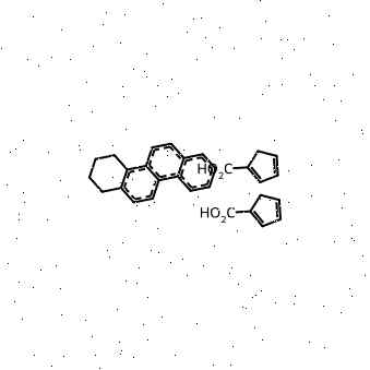 O=C(O)C1=CC=CC1.O=C(O)C1=CC=CC1.c1ccc2c(c1)ccc1c3c(ccc12)CCCC3